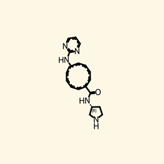 O=C(N[C@@H]1CCNC1)c1ccccc(Nc2ncccn2)cccc1